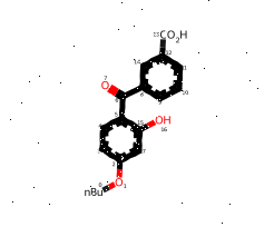 CCCCOc1ccc(C(=O)c2cccc(C(=O)O)c2)c(O)c1